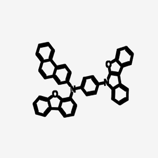 c1ccc2c(c1)ccc1cc(N(c3ccc(-n4c5ccccc5c5c6ccccc6oc54)cc3)c3cccc4c3oc3ccccc34)ccc12